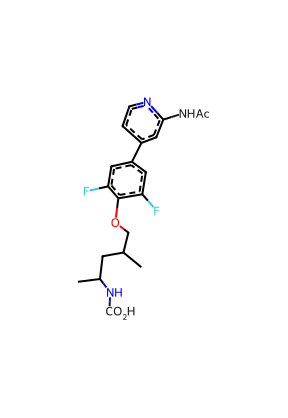 CC(=O)Nc1cc(-c2cc(F)c(OCC(C)CC(C)NC(=O)O)c(F)c2)ccn1